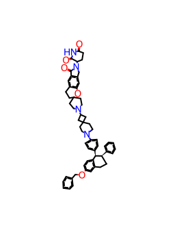 O=C1CCC(N2Cc3cc4c(cc3C2=O)CCC2(CCN(C3CC5(CCN(c6ccc([C@@H]7c8ccc(OCc9ccccc9)cc8CC[C@@H]7c7ccccc7)cc6)CC5)C3)CC2)O4)C(=O)N1